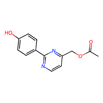 CC(=O)OCc1ccnc(-c2ccc(O)cc2)n1